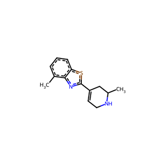 Cc1cccc2sc(C3=CCNC(C)C3)nc12